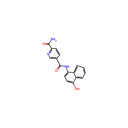 NC(=O)c1ccc(C(=O)Nc2ccc(O)c3ccccc23)cn1